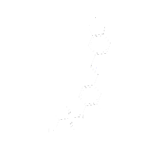 CC(C)S(=O)(=O)Nc1ccc(/C=C/c2ccc3c(c2)OCO3)cc1F